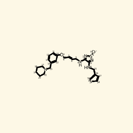 [O-][s+]1nc(NCC=CCOc2cccc(CN3CCCCC3)c2)c(NCc2ccsc2)n1